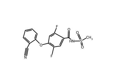 CS(=O)(=O)NC(=O)c1cc(F)c(Oc2ccccc2C#N)cc1F